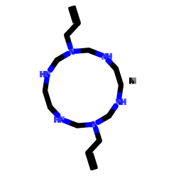 C=CCN1CNCCNCN(CC=C)CNCCNC1.[Ni]